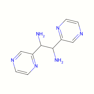 NC(c1cnccn1)C(N)c1cnccn1